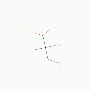 CCCC(CC)(CC(C)C)C(C)O